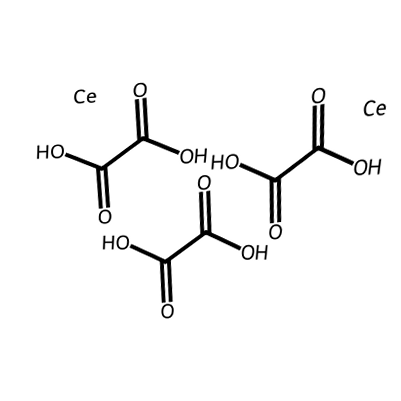 O=C(O)C(=O)O.O=C(O)C(=O)O.O=C(O)C(=O)O.[Ce].[Ce]